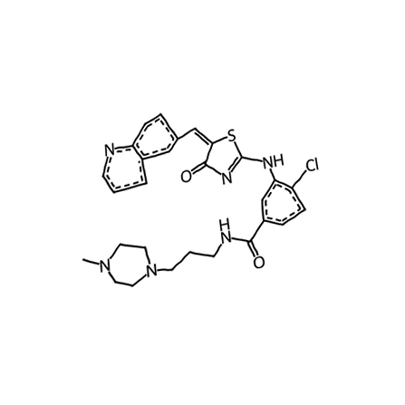 CN1CCN(CCCNC(=O)c2ccc(Cl)c(NC3=NC(=O)C(=Cc4ccc5ncccc5c4)S3)c2)CC1